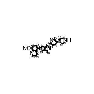 Cc1nn(Cc2ccc(N3CCNCC3)cn2)c2c1CN(c1ccc(C#N)c3ncccc13)C2